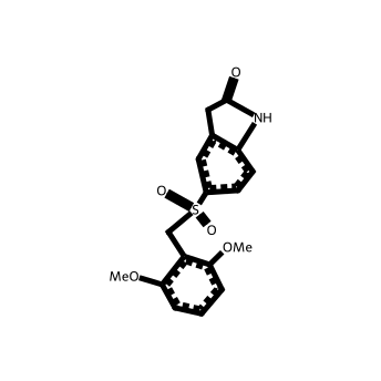 COc1cccc(OC)c1CS(=O)(=O)c1ccc2c(c1)CC(=O)N2